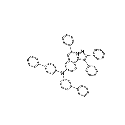 c1ccc(-c2ccc(N(c3cccc(-c4ccccc4)c3)c3ccc4c(c3)cc(-c3ccccc3)n3nc(-c5ccccc5)c(-c5ccccc5)c43)cc2)cc1